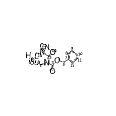 CCC(C)CN(C(=O)OCc1ccccc1)C(=O)N(C)C#N